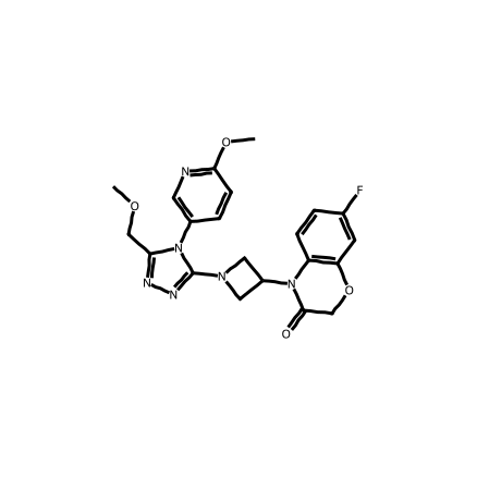 COCc1nnc(N2CC(N3C(=O)COc4cc(F)ccc43)C2)n1-c1ccc(OC)nc1